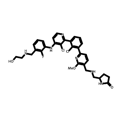 COc1nc(-c2cccc(-c3nccc(Nc4cccc(CNCCO)c4F)c3Cl)c2Cl)ccc1CNCC1CCC(=O)N1